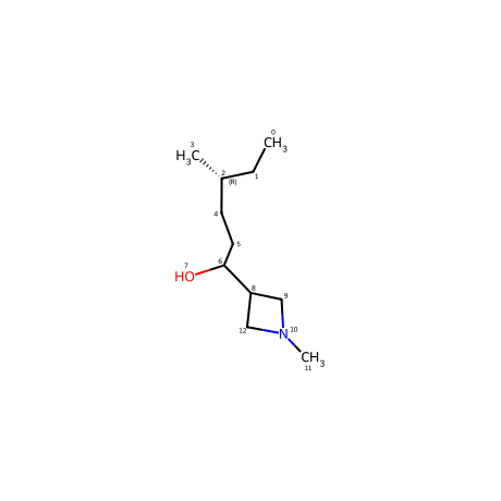 CC[C@@H](C)CCC(O)C1CN(C)C1